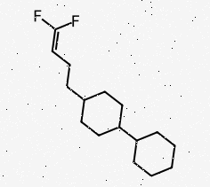 FC(F)=CCCC1CCC(C2CCCCC2)CC1